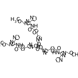 COCCn1cc(NC(=O)c2ccc(-c3cnn(COP(=O)(OCn4cc(-c5ccc(C(=O)Nc6cn(CCOC)nc6-c6ccccn6)o5)cn4)OCn4cc(-c5ccc(C(=O)Nc6cn(CCOC)nc6-c6ccccn6)o5)cn4)c3)o2)c(-c2ccccn2)n1